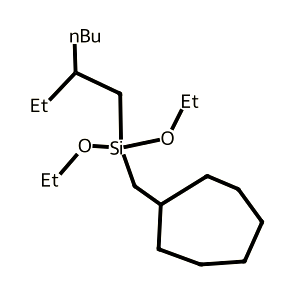 CCCCC(CC)C[Si](CC1CCCCCC1)(OCC)OCC